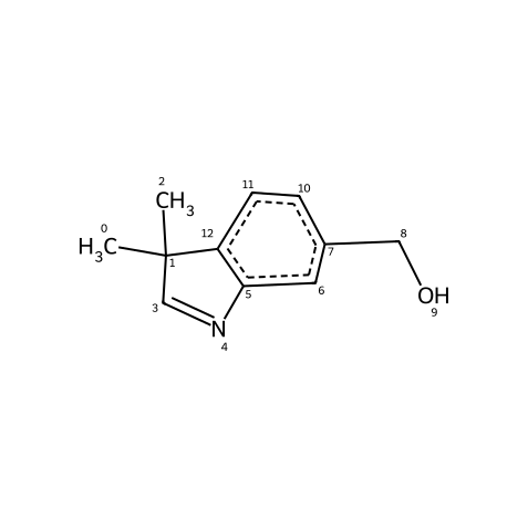 CC1(C)C=Nc2cc(CO)ccc21